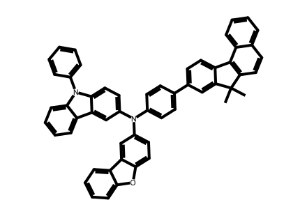 CC1(C)c2cc(-c3ccc(N(c4ccc5oc6ccccc6c5c4)c4ccc5c(c4)c4ccccc4n5-c4ccccc4)cc3)ccc2-c2c1ccc1ccccc21